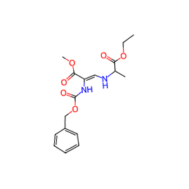 CCOC(=O)C(C)N/C=C(\NC(=O)OCc1ccccc1)C(=O)OC